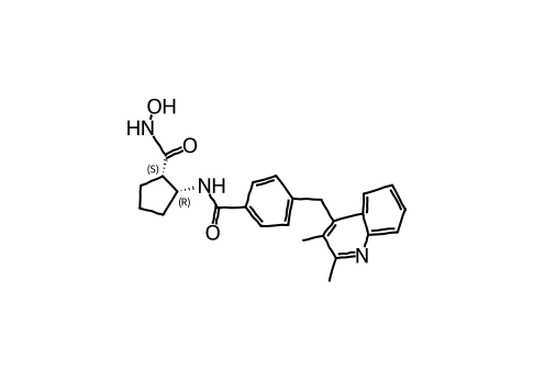 Cc1nc2ccccc2c(Cc2ccc(C(=O)N[C@@H]3CCC[C@@H]3C(=O)NO)cc2)c1C